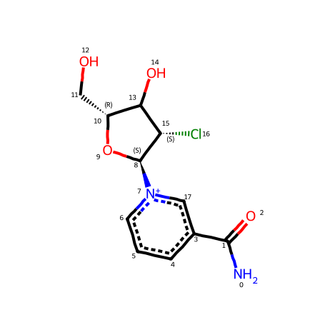 NC(=O)c1ccc[n+]([C@H]2O[C@H](CO)C(O)[C@@H]2Cl)c1